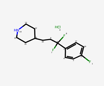 Cl.Fc1ccc(C(F)(F)CCC2CCNCC2)cc1